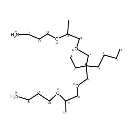 CCCCC(CC)(COCC(C)OCCCN)COCC(C)OCCCN